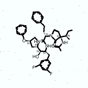 CC[C@@H](C)[C@@]1(NC(C)=O)CCN([C@@H](CCc2ccccc2)C(=O)N[C@@H](Cc2cc(F)cc(F)c2)[C@@H](O)[C@H]2C[C@@H](Oc3ccccc3)CN2)C1=O